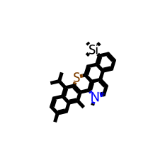 Cc1ccc2c(C(C)C)c3c(c(C)c2c1)-c1c2c(cc4c([Si](C)(C)C)cccc4c2cc[n+]1C)S3